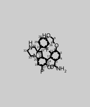 NC(=O)c1ccc(OCCO)c(F)c1-c1c(Cl)c(F)cc2c1CC1(c3ccccc3)CNCCN21